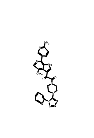 COc1cnc(-c2ccc(N)nc2)c2[nH]cc(C(=O)C(=O)N3CCN(c4nnnn4-c4ccccn4)CC3)c12